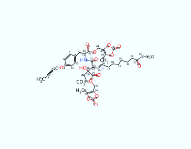 CC#CCOc1ccc(C[C@H](NC(=O)[C@@H](/C=C/CCCCCCC(=O)CCCCCCC)[C@@](O)(CC(=O)O)C(=O)OCc2oc(=O)oc2C)C(=O)OCc2oc(=O)oc2C)cc1